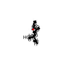 CC(=O)OC(CC(C(C)C)N(C)C(=O)CC1CCC1)c1nc(C(=O)N[C@@H](Cc2nc(C(F)(F)F)cs2)C[C@H](C)C(=O)O)cs1